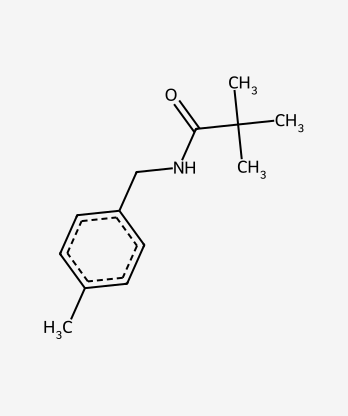 Cc1ccc(CNC(=O)C(C)(C)C)cc1